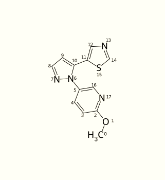 COc1ccc(-n2nccc2-c2cncs2)cn1